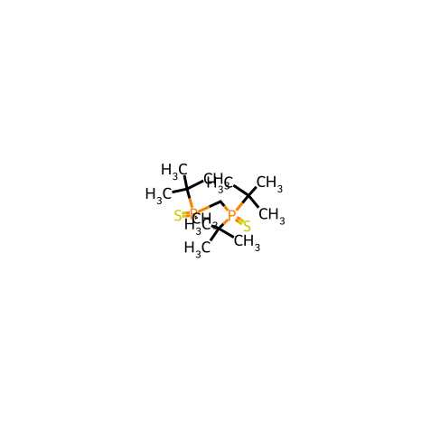 CC(C)(C)P(=S)(C[P@@](C)(=S)C(C)(C)C)C(C)(C)C